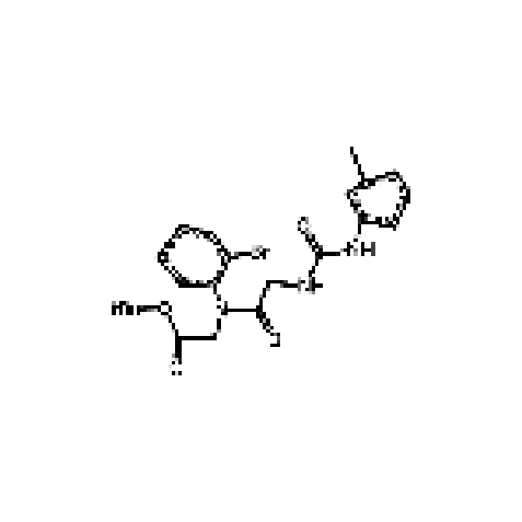 Cc1cccc(NC(=O)NCC(=O)N(CC(=O)OC(C)(C)C)c2ccccc2Br)c1